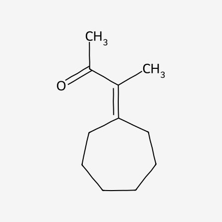 CC(=O)C(C)=C1CCCCCC1